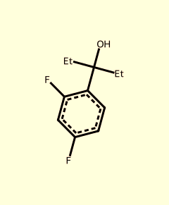 CCC(O)(CC)c1ccc(F)cc1F